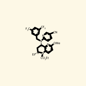 CCOC(=O)N1c2ccc(OC)nc2[C@@H](N(Cc2cc(C(F)(F)F)cc(C(F)(F)F)c2)c2ccc(C#N)cn2)C[C@H]1CC